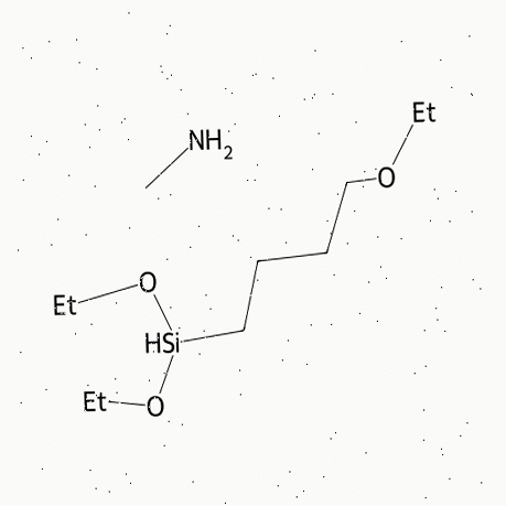 CCOCCCC[SiH](OCC)OCC.CN